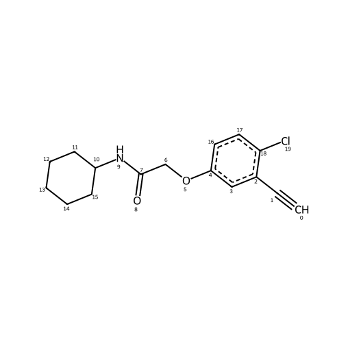 C#Cc1cc(OCC(=O)NC2CCCCC2)ccc1Cl